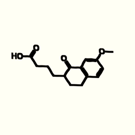 COc1ccc2c(c1)C(=O)C(CCCC(=O)O)CC2